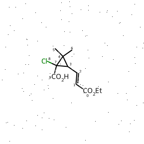 CCOC(=O)C=CC1C(C)(C)C1(Cl)C(=O)O